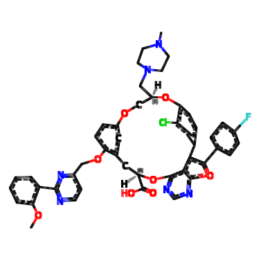 COc1ccccc1-c1nccc(COc2ccc3cc2C[C@H](C(=O)O)Oc2ncnc4oc(-c5ccc(F)cc5)c(c24)-c2ccc(c(Cl)c2)O[C@H](CN2CCN(C)CC2)CO3)n1